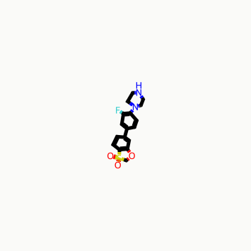 O=S1(=O)COc2cc(-c3ccc(N4CCNCC4)c(F)c3)ccc21